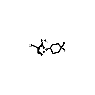 [C-]#[N+]c1cnn(C2CCC(F)(F)CC2)c1N